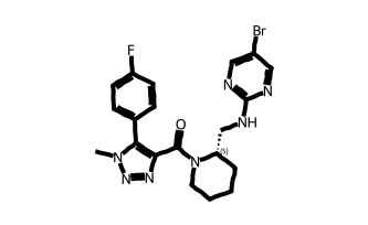 Cn1nnc(C(=O)N2CCCC[C@H]2CNc2ncc(Br)cn2)c1-c1ccc(F)cc1